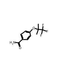 CC(C)(Oc1ccc(C(N)=O)cc1)C(F)(F)F